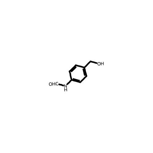 O=CNc1ccc(CO)cc1